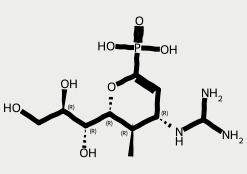 C[C@H]1[C@H]([C@H](O)[C@H](O)CO)OC(P(=O)(O)O)=C[C@@H]1NC(N)N